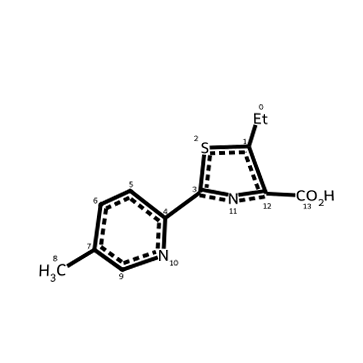 CCc1sc(-c2ccc(C)cn2)nc1C(=O)O